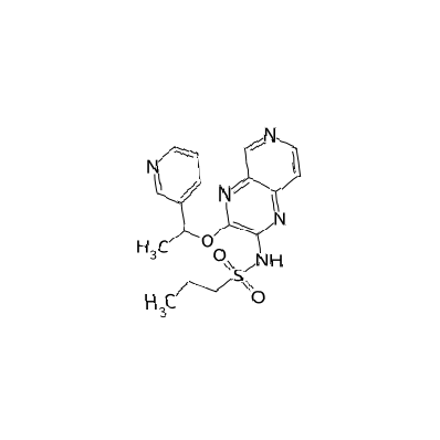 CCCS(=O)(=O)Nc1nc2ccncc2nc1OC(C)c1cccnc1